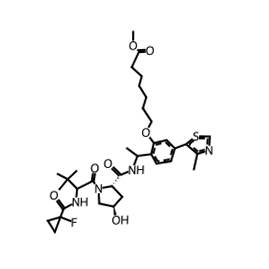 COC(=O)CCCCCCOc1cc(-c2scnc2C)ccc1C(C)NC(=O)[C@@H]1C[C@@H](O)CN1C(=O)C(NC(=O)C1(F)CC1)C(C)(C)C